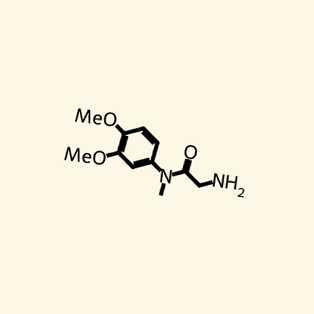 COc1ccc(N(C)C(=O)CN)cc1OC